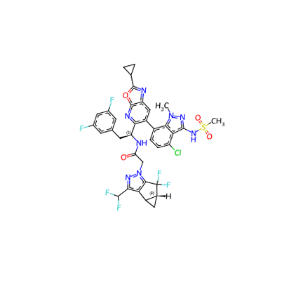 Cn1nc(NS(C)(=O)=O)c2c(Cl)ccc(-c3cc4nc(C5CC5)oc4nc3[C@H](Cc3cc(F)cc(F)c3)NC(=O)Cn3nc(C(F)F)c4c3C(F)(F)[C@@H]3CC43)c21